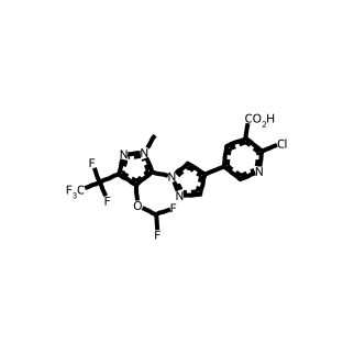 Cn1nc(C(F)(F)C(F)(F)F)c(OC(F)F)c1-n1cc(-c2cnc(Cl)c(C(=O)O)c2)cn1